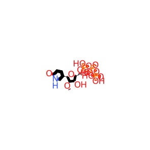 CO[C@H]1C(O)[C@@H](COP(=O)(O)OP(=O)(O)OP(=O)(O)O)O[C@H]1c1ccc(=O)[nH]c1